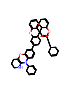 C1=CCC(N2C3=C(CCCN3)Oc3cc(C4=CC5=C(CC4)C4(c6ccccc6O5)C5C=CC(C6CC=CCC6)CC5OC5C=CCCC54)ccc32)C=C1